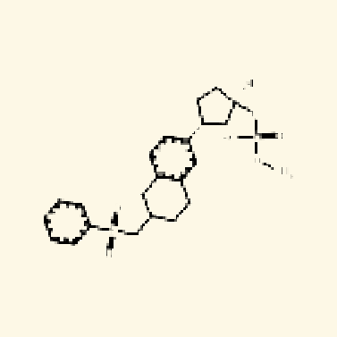 COP(=O)(O)O[C@]1(N)CC[C@H](c2ccc3c(c2)CCC(CS(=O)(=O)c2ccccc2)C3)C1